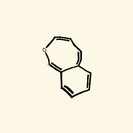 [C]1=c2ccccc2=CC=CO1